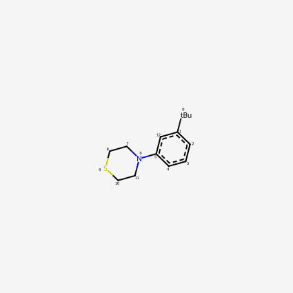 CC(C)(C)c1cccc(N2CCSCC2)c1